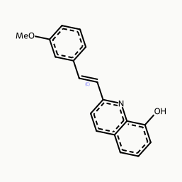 COc1cccc(/C=C/c2ccc3cccc(O)c3n2)c1